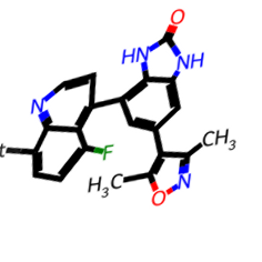 CCc1ccc(F)c2c(-c3cc(-c4c(C)noc4C)cc4[nH]c(=O)[nH]c34)ccnc12